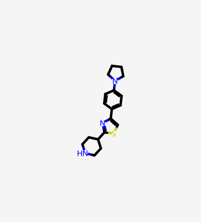 c1cc(N2CCCC2)ccc1-c1csc(C2CCNCC2)n1